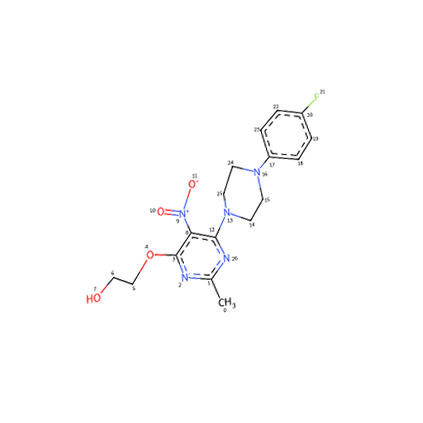 Cc1nc(OCCO)c([N+](=O)[O-])c(N2CCN(c3ccc(F)cc3)CC2)n1